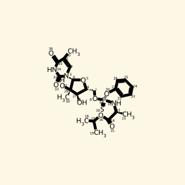 Cc1cn([C@@H]2O[C@H](COP(=S)(N[C@@H](C)C(=O)OC(C)C)Oc3ccccc3)[C@@H](O)[C@@]2(C)O)c(=O)[nH]c1=O